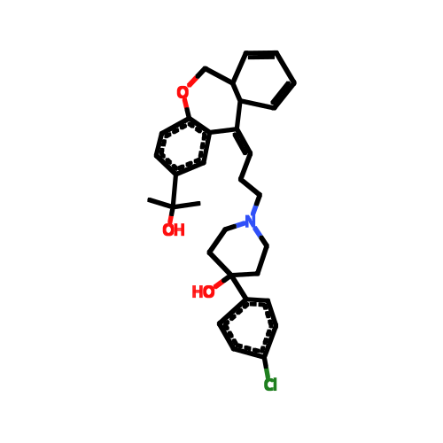 CC(C)(O)c1ccc2c(c1)C(=CCCN1CCC(O)(c3ccc(Cl)cc3)CC1)C1C=CC=CC1CO2